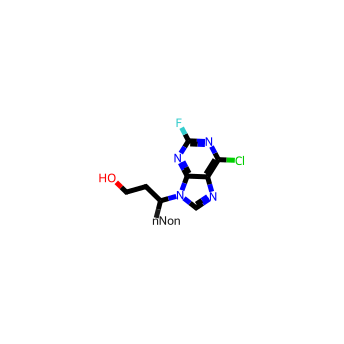 CCCCCCCCCC(CCO)n1cnc2c(Cl)nc(F)nc21